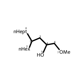 CCCCCCCC(CCCCCC)CC(O)COC